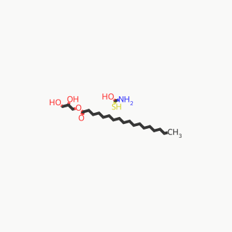 CCCCCCCCCCCCCCCCCC(=O)OCC(O)CO.NC(O)S